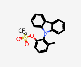 Cc1cccc(OS(=O)(=O)C(F)(F)F)c1-n1c2ccccc2c2ccccc21